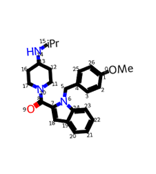 COc1ccc(Cn2c(C(=O)N3CCC(NC(C)C)CC3)cc3ccccc32)cc1